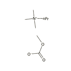 CCC[N+](C)(C)C.COC(=O)[O-]